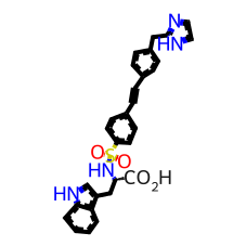 O=C(O)[C@@H](Cc1c[nH]c2ccccc12)NS(=O)(=O)c1ccc(C#Cc2ccc(Cc3ncc[nH]3)cc2)cc1